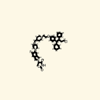 O=C1CCC(n2cc3cc(F)c(N4CC5CC4CN5CC4CCN(CCOc5ccc(C(=C(CCCl)c6ccccc6)c6ccccc6)cc5)CC4)cc3c2)C(=O)N1